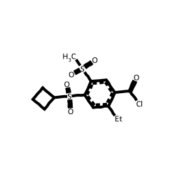 CCc1cc(S(=O)(=O)C2CCC2)c(S(C)(=O)=O)cc1C(=O)Cl